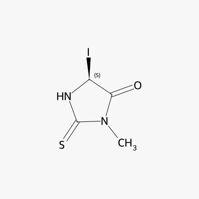 CN1C(=O)[C@H](I)NC1=S